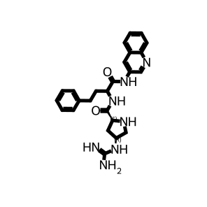 N=C(N)N[C@H]1CN[C@H](C(=O)NC(CCc2ccccc2)C(=O)Nc2cnc3ccccc3c2)C1